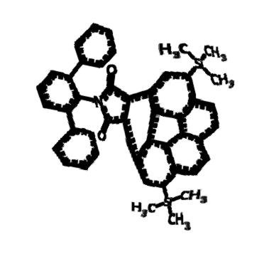 C[Si](C)(C)c1cc2c3c(=O)n(-c4c(-c5ccccc5)cccc4-c4ccccc4)c(=O)c3c3cc([Si](C)(C)C)c4ccc5ccc1c1c5c4c3c21